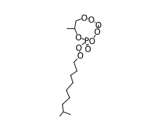 CC(C)CCCCCCCOOP1(=O)OOOOOCC(C)O1